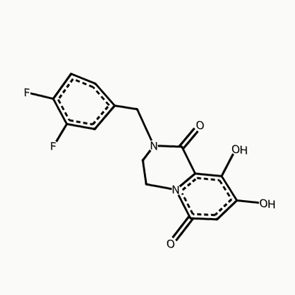 O=C1c2c(O)c(O)cc(=O)n2CCN1Cc1ccc(F)c(F)c1